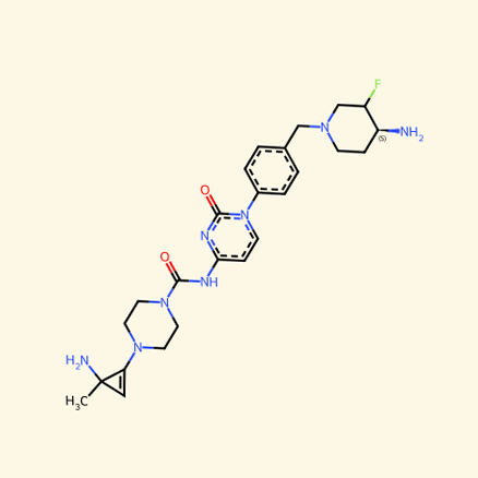 CC1(N)C=C1N1CCN(C(=O)Nc2ccn(-c3ccc(CN4CC[C@H](N)C(F)C4)cc3)c(=O)n2)CC1